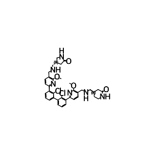 COc1nc(-c2cccc(-c3cccc(-c4ccc(CNC[C@@H]5CCNC(=O)C5)c(OC)n4)c3Cl)c2Cl)ccc1CNC[C@@H]1CNC(=O)C1